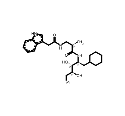 CC(C)C[C@H](O)[C@H](O)[C@H](CC1CCCCC1)NC(=O)[C@@H](C)CNC(=O)Cc1c[nH]c2ccccc12